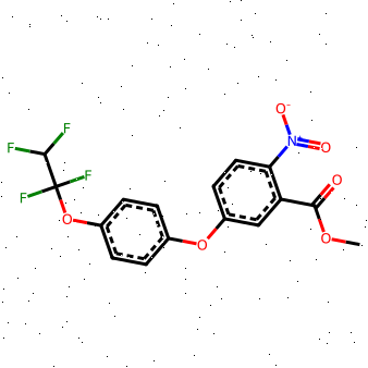 COC(=O)c1cc(Oc2ccc(OC(F)(F)C(F)F)cc2)ccc1[N+](=O)[O-]